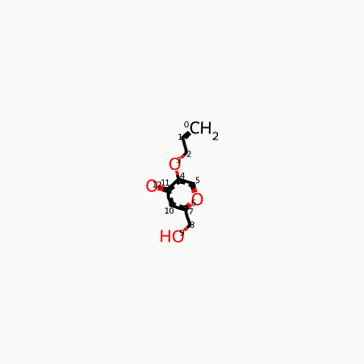 C=CCOc1coc(CO)cc1=O